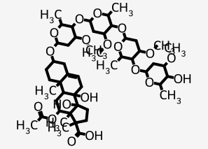 COC1CC(OC2C(C)OC(OC3C(C)OC(OC4C(C)OC(OC5CCC6(C)C(=CCC7(O)C6CC(OC(C)=O)C6(C)C(C)(C(=O)O)CCC76O)C5)CC4OC)CC3OC)CC2OC)OC(C)C1O